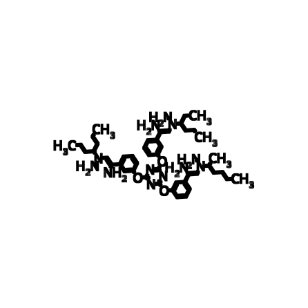 CCCCC(C)N(N)/C=C(\N)c1cccc(Oc2nc(Oc3cccc(/C(N)=C/N(N)C(CC)CCC)c3)nc(Oc3cccc(/C(N)=C/N(N)C(CCC)CCC)c3)n2)c1